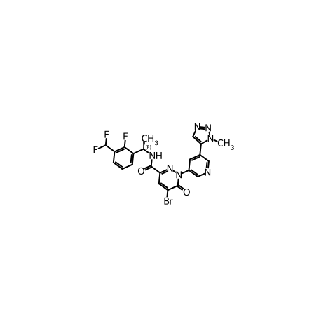 C[C@@H](NC(=O)c1cc(Br)c(=O)n(-c2cncc(-c3cnnn3C)c2)n1)c1cccc(C(F)F)c1F